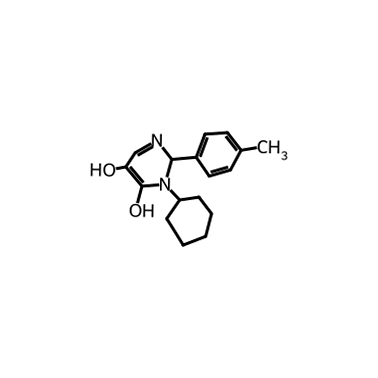 Cc1ccc(C2N=CC(O)=C(O)N2C2CCCCC2)cc1